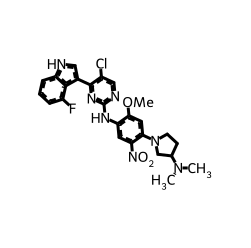 COc1cc(N2CCC(N(C)C)C2)c([N+](=O)[O-])cc1Nc1ncc(Cl)c(-c2c[nH]c3cccc(F)c23)n1